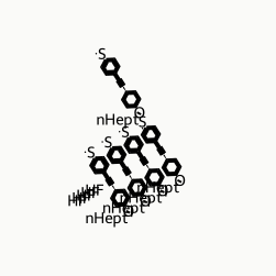 CCCCCCCO[C@H]1CC[C@H](C#Cc2ccc([S])cc2)CC1.CCCCCCCO[C@H]1CC[C@H](C#Cc2ccc([S])cc2)CC1.CCCCCCCO[C@H]1CC[C@H](C#Cc2ccc([S])cc2)CC1.CCCCCCCO[C@H]1CC[C@H](C#Cc2ccc([S])cc2)CC1.CCCCCCCO[C@H]1CC[C@H](C#Cc2ccc([S])cc2)CC1.F.F.F.F.F